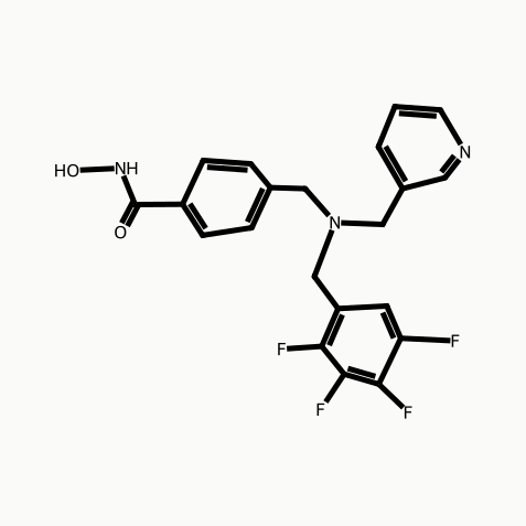 O=C(NO)c1ccc(CN(Cc2cccnc2)Cc2cc(F)c(F)c(F)c2F)cc1